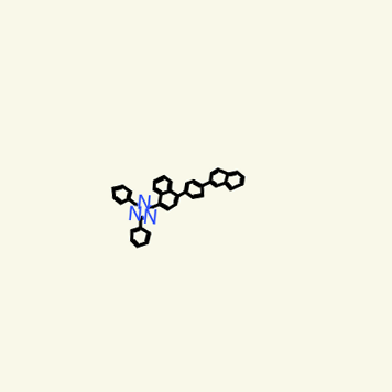 c1ccc(-c2nc(-c3ccccc3)nc(-c3ccc(-c4ccc(-c5ccc6ccccc6c5)cc4)c4ccccc34)n2)cc1